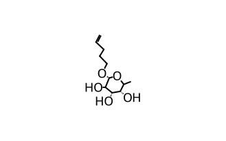 C=CCCCO[C@@H]1OC(C)[C@H](O)[C@H](O)C1O